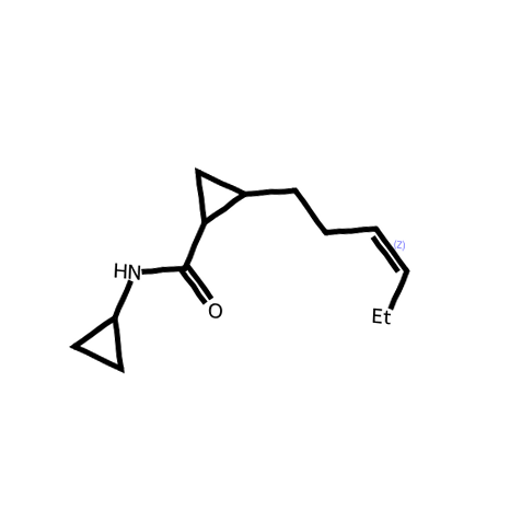 CC/C=C\CCC1CC1C(=O)NC1CC1